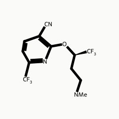 CNCC[C@@H](Oc1nc(C(F)(F)F)ccc1C#N)C(F)(F)F